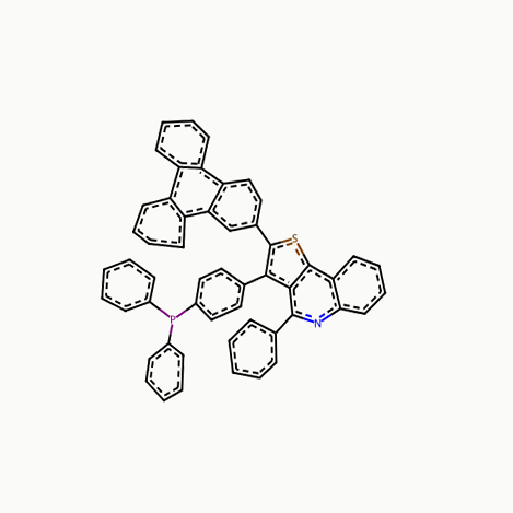 c1ccc(-c2nc3ccccc3c3sc(-c4ccc5c6ccccc6c6ccccc6c5c4)c(-c4ccc(P(c5ccccc5)c5ccccc5)cc4)c23)cc1